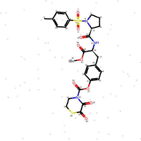 Cc1ccc(S(=O)(=O)N2CCC[C@H]2C(=O)N[C@@H](Cc2ccc(OC(=O)N3CCSC(=O)C3=O)cc2)C(=O)OC(C)(C)C)cc1